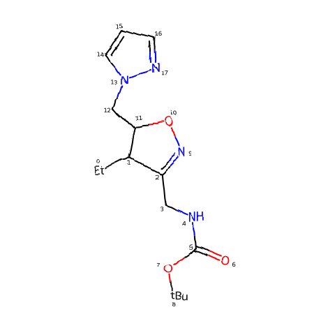 CCC1C(CNC(=O)OC(C)(C)C)=NOC1Cn1cccn1